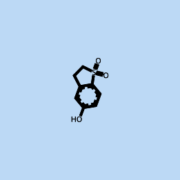 O=S1(=O)CCc2cc(O)ccc21